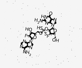 Nc1nc2c(ncn2[C@@H]2O[C@H](CO)[C@@H](F)[C@H]2OP(=S)(S)OC[C@H]2O[C@@H](n3cnc4c(N)ncnc43)[C@@H](F)[C@@H]2O)c(=O)[nH]1